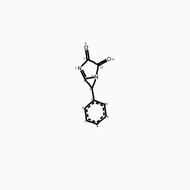 O=C1N=C2C(c3ccccc3)N2C1=O